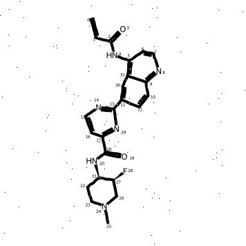 C=CC(=O)Nc1ccnc2ccc(-c3nccc(C(=O)N[C@@H]4CCN(C)C[C@@H]4F)n3)cc12